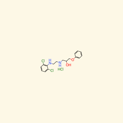 Cl.OC(CNCCNc1c(Cl)cccc1Cl)COc1ccccc1